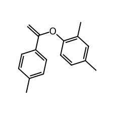 C=C(Oc1ccc(C)cc1C)c1ccc(C)cc1